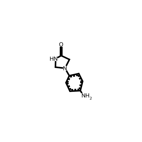 Nc1ccc(N2CNC(=O)C2)cc1